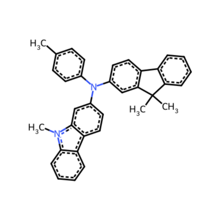 Cc1ccc(N(c2ccc3c(c2)C(C)(C)c2ccccc2-3)c2ccc3c4ccccc4n(C)c3c2)cc1